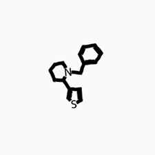 c1ccc(CN2CCCCC2c2ccsc2)cc1